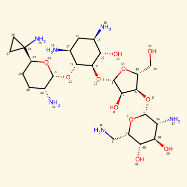 NC[C@@H]1O[C@H](O[C@H]2[C@@H](O)[C@H](O[C@@H]3[C@@H](O)[C@H](N)C[C@H](N)[C@H]3O[C@H]3O[C@H](C4(N)CC4)CC[C@H]3N)O[C@@H]2CO)[C@H](N)[C@@H](O)[C@@H]1O